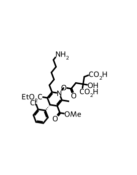 CCOC(=O)C1=C(CCCCCN)N(OC(=O)CC(O)(CC(=O)O)C(=O)O)C(C)=C(C(=O)OC)[C@@H]1c1ccccc1Cl